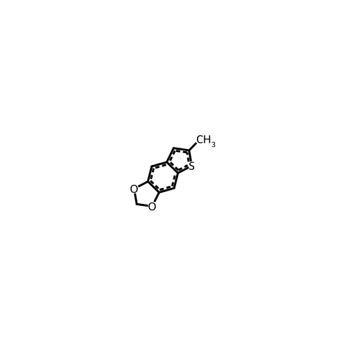 Cc1cc2cc3c(cc2s1)OCO3